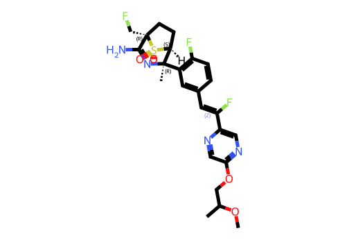 COC(C)COc1cnc(/C(F)=C/c2ccc(F)c([C@@]3(C)N=C(N)[C@@]4(CF)CC[C@@H]3S4(=O)=O)c2)cn1